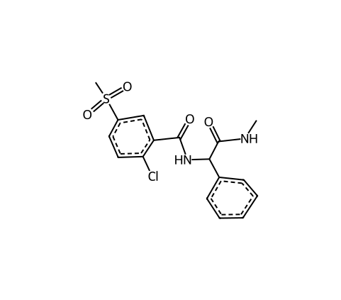 CNC(=O)C(NC(=O)c1cc(S(C)(=O)=O)ccc1Cl)c1ccccc1